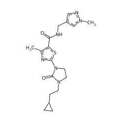 Cc1nc(N2CCN(CCC3CC3)C2=O)sc1C(=O)NCc1cnn(C)c1